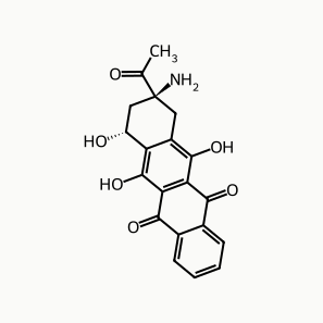 CC(=O)[C@]1(N)Cc2c(O)c3c(c(O)c2[C@H](O)C1)C(=O)c1ccccc1C3=O